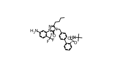 CCCCc1nn(-c2cc(N)ccc2C(F)(F)F)c(=O)n1Cc1ccc(-c2ccccc2S(=O)(=O)NC(C)(C)C)cc1